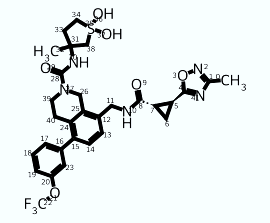 Cc1noc([C@H]2C[C@@H]2C(=O)NCc2ccc(-c3cccc(OC(F)(F)F)c3)c3c2CN(C(=O)NC2(C)CCS(O)(O)C2)CC3)n1